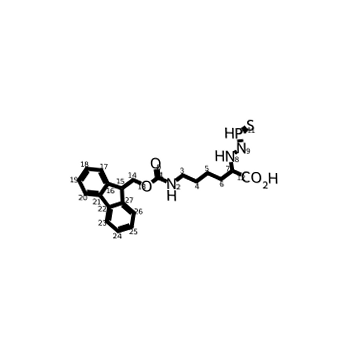 O=C(NCCCCC(NN=[PH]=S)C(=O)O)OCC1c2ccccc2-c2ccccc21